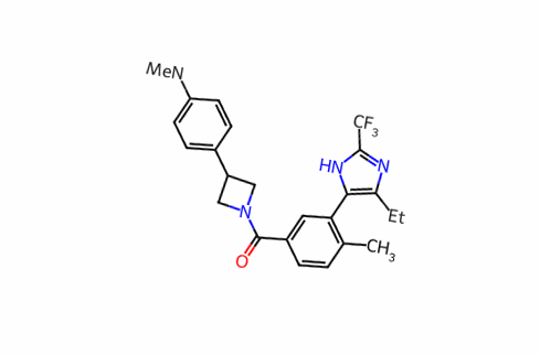 CCc1nc(C(F)(F)F)[nH]c1-c1cc(C(=O)N2CC(c3ccc(NC)cc3)C2)ccc1C